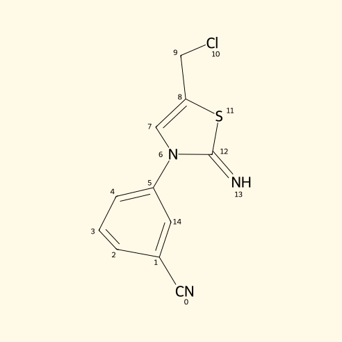 N#Cc1cccc(-n2cc(CCl)sc2=N)c1